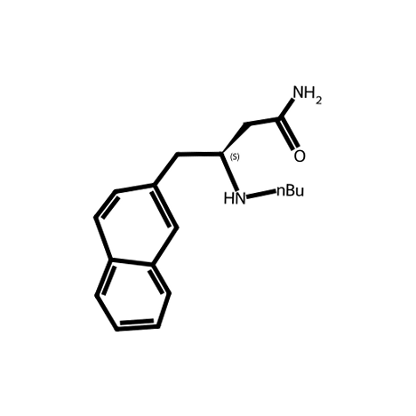 CCCCN[C@H](CC(N)=O)Cc1ccc2ccccc2c1